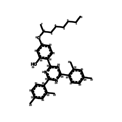 CCCCCCC(C)Oc1ccc(-c2nc(-c3ccc(C)cc3C)nc(-c3ccc(C)cc3C)n2)c(O)c1